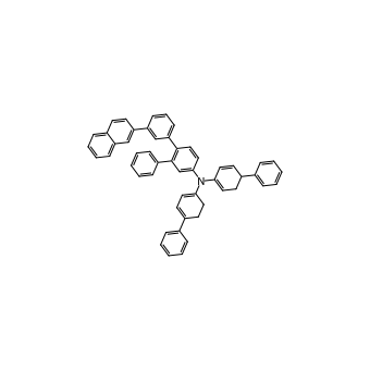 C1=CC(c2ccccc2)CC=C1N(C1=CC=C(c2ccccc2)CC1)c1ccc(-c2cccc(-c3ccc4ccccc4c3)c2)c(-c2ccccc2)c1